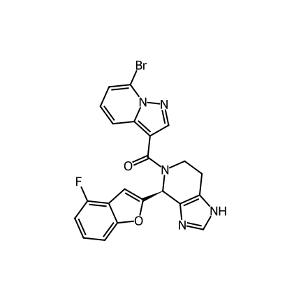 O=C(c1cnn2c(Br)cccc12)N1CCc2[nH]cnc2[C@H]1c1cc2c(F)cccc2o1